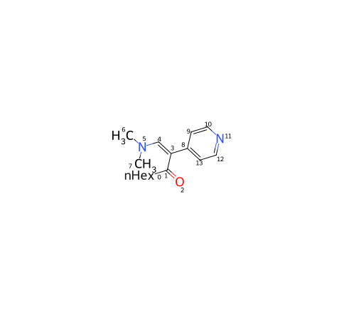 CCCCCCC(=O)C(=CN(C)C)c1ccncc1